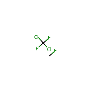 CF.FC(F)(Cl)Cl